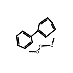 C[O][Ti][O]C.c1ccc(-c2ccccc2)cc1